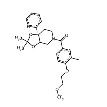 BC1(B)OC2CN(C(=O)c3ccc(OCCOC(F)(F)F)c(C)n3)CC[C@]2(c2ccccn2)O1